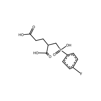 O=C(O)CCC(CP(=O)(O)c1ccc(F)cc1)C(=O)O